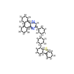 c1cc(-c2ccc(-c3cccc4c3sc3ccccc34)cc2)cc(-c2cnc3c4ccccc4c4ccccc4c3n2)c1